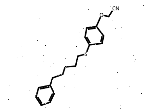 N#CCOc1ccc(SCCCCCc2ccccc2)cc1